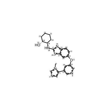 Cn1cncc1-c1cncc(Oc2ccc3nc(N[C@@H]4CCCC[C@H]4O)sc3c2)c1